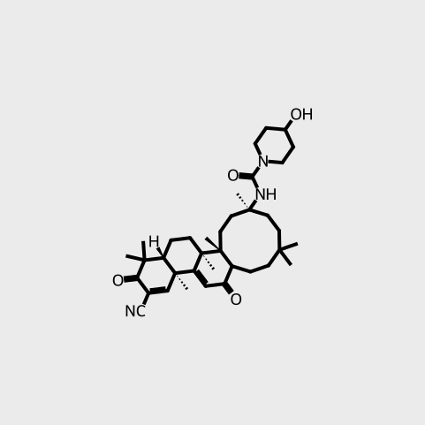 CC1(C)CCC2C(=O)C=C3[C@@]4(C)C=C(C#N)C(=O)C(C)(C)[C@@H]4CC[C@@]3(C)[C@]2(C)CC[C@@](C)(NC(=O)N2CCC(O)CC2)CC1